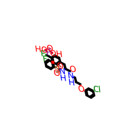 O=C(NCCCOc1cccc(Cl)c1)C(Cc1ccc(C(F)(F)P(=O)(O)O)cc1)NS(=O)(=O)c1ccccc1